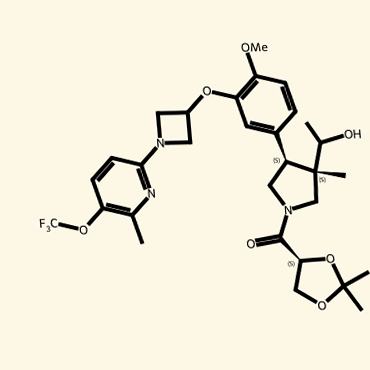 COc1ccc([C@@H]2CN(C(=O)[C@@H]3COC(C)(C)O3)C[C@@]2(C)C(C)O)cc1OC1CN(c2ccc(OC(F)(F)F)c(C)n2)C1